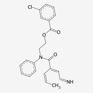 C/C=C\C(=C/C=N)C(=O)N(CCOC(=O)c1cccc(Cl)c1)c1ccccc1